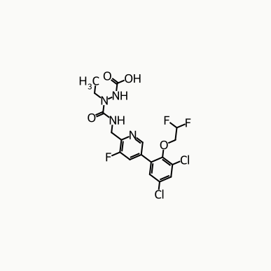 CCN(NC(=O)O)C(=O)NCc1ncc(-c2cc(Cl)cc(Cl)c2OCC(F)F)cc1F